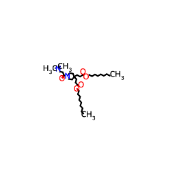 CCCCCCCCCOC(=O)CCC1(CCC(=O)OCCCCCCCCC)CCN(C(=O)CCN(C)C)CC1